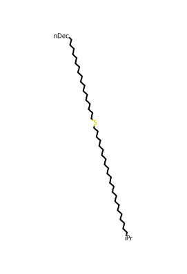 [CH2]CCCCCCCCCCCCCCCCCCCCCCCCCCCSCCCCCCCCCCCCCCCCCCCCCCCCC(C)C